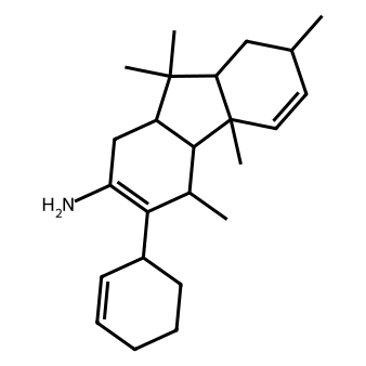 CC1C=CC2(C)C3C(C)C(C4C=CCCC4)=C(N)CC3C(C)(C)C2C1